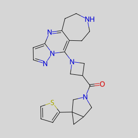 O=C(C1CN(c2c3c(nc4ccnn24)CCNCC3)C1)N1CC2CC2(c2cccs2)C1